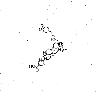 C=C(C)[C@@H]1CC[C@]2(CNCCCN3CCS(=O)(=O)CC3)CC[C@]3(C)[C@H](CC[C@@H]4[C@@]5(C)CCN(c6ncc(C(=O)O)cn6)C(C)(C)[C@@H]5CC[C@]43C)[C@@H]12